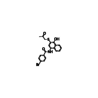 CC(=O)CSc1cc(NC(=O)c2ccc(Br)cc2)c2ccccc2c1O